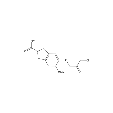 C=C(CCl)COc1cc2c(cc1OC)CN(C(=O)CCC)C2